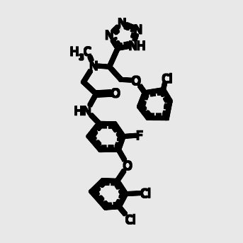 CN(CC(=O)Nc1ccc(Oc2cccc(Cl)c2Cl)c(F)c1)C(COc1ccccc1Cl)c1nnn[nH]1